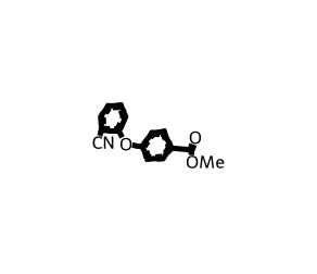 COC(=O)c1ccc(Oc2ccccc2C#N)cc1